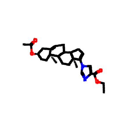 CCOC(=O)c1cn(C2=CCC3C4CC=C5C[C@@H](OC(C)=O)CC[C@]5(C)C4CC[C@]23C)cn1